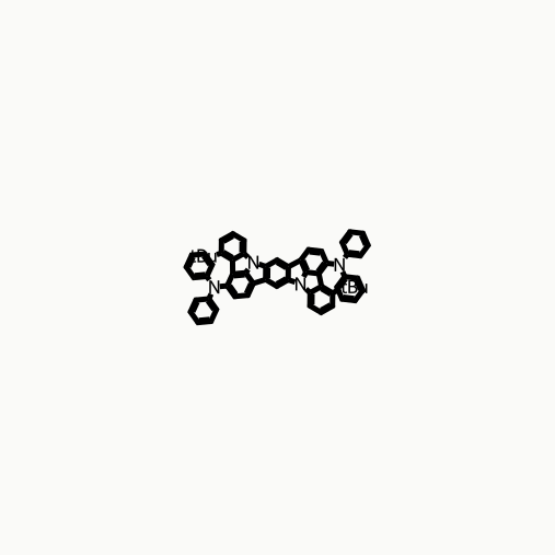 CC(C)(C)c1cccc2c1c1c(N(c3ccccc3)c3ccccc3)ccc3c4cc5c(cc4n2c31)c1ccc(N(c2ccccc2)c2ccccc2)c2c3c(C(C)(C)C)cccc3n5c12